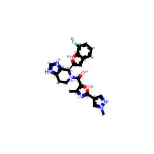 Cc1nc(-c2cnn(C)c2)oc1C(=O)N1CCc2[nH]cnc2[C@H]1c1cc2cccc(F)c2o1